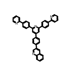 c1ccc(-c2ccc(-c3cc(-c4ccc(-c5cnc6ccccc6c5)cc4)cc(-c4ccc(-c5ccccn5)cc4)n3)cc2)nc1